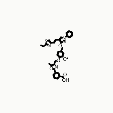 CCc1nc(/C=C/c2cn(-c3ccccc3)nc2OCc2ccc(OCc3nc(-c4cccc(C(=O)O)c4)oc3C)c(OC)c2)cs1